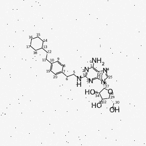 Nc1nc(NCCc2ccc(CCC3CCCCC3)cc2)nc2c1ncn2[C@@H]1O[C@H](CO)C(O)C1O